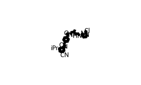 CC(CCNc1ccnc(Cl)n1)CNC(=O)c1ccc(-c2nc3cc(C#N)cc(C(C)C)c3o2)cc1